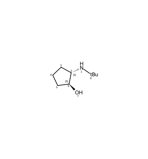 CC(C)(C)N[C@H]1CCC[C@@H]1O